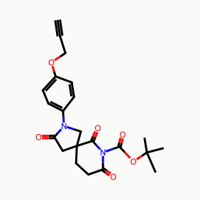 C#CCOc1ccc(N2CC3(CCC(=O)N(C(=O)OC(C)(C)C)C3=O)CC2=O)cc1